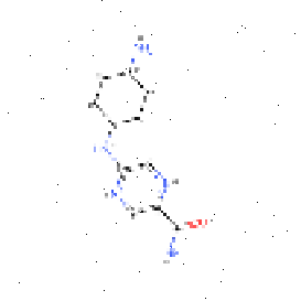 NC(=O)c1cnc(NC2CCC(N)CC2)cn1